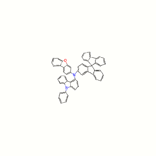 c1ccc(-n2c3ccccc3c3c(N(c4ccc5c(c4)-c4ccccc4C54c5ccccc5-c5ccccc54)c4ccc5c(c4)oc4ccccc45)cccc32)cc1